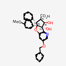 COc1ccc([C@@]23Oc4cc(OCc5ccccc5)cnc4[C@]2(O)[C@H](O)[C@H](C(=O)O)[C@H]3c2ccccc2)cc1